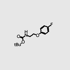 CC(C)(C)OC(=O)NCCOc1ccc(F)cc1